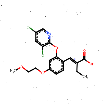 CC/C(=C\c1ccc(OCCOC)cc1Oc1ncc(Cl)cc1Cl)C(=O)O